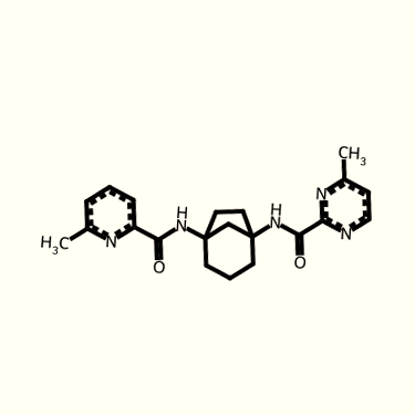 Cc1cccc(C(=O)NC23CCCC(NC(=O)c4nccc(C)n4)(CC2)C3)n1